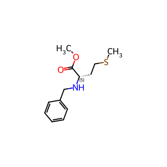 COC(=O)[C@H](CCSC)NCc1ccccc1